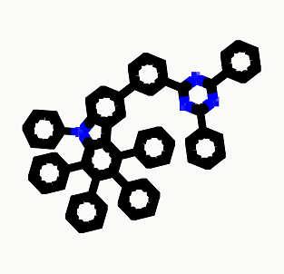 c1ccc(-c2nc(-c3ccccc3)nc(-c3cccc(-c4ccc5c(c4)c4c(-c6ccccc6)c(-c6ccccc6)c(-c6ccccc6)c(-c6ccccc6)c4n5-c4ccccc4)c3)n2)cc1